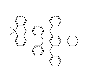 CS1(C)c2ccccc2N(c2ccc3c(c2)B2c4ccccc4N(c4ccccc4)c4cc(C5CCCCC5)cc(c42)N3c2ccccc2)c2ccccc21